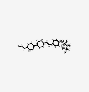 CCCC1CCC(C2CCC(/C=C/c3ccc(OC(F)(F)C(F)C(F)(F)F)cc3)CC2)CC1